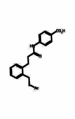 CC(=O)SCc1ccccc1CCC(=O)Nc1ccc(C(=O)O)cc1